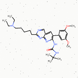 CCN(CC)CCCCCc1ncc2cc(-c3cc(OC)cc(OC)c3)c(NC(=O)NC(C)(C)C)nc2n1